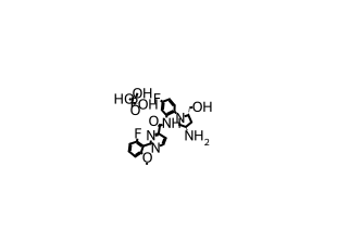 COc1cccc(F)c1-c1nccc(C(=O)Nc2cc(F)ccc2N2C[C@@H](N)C[C@H]2CO)n1.O=P(O)(O)O